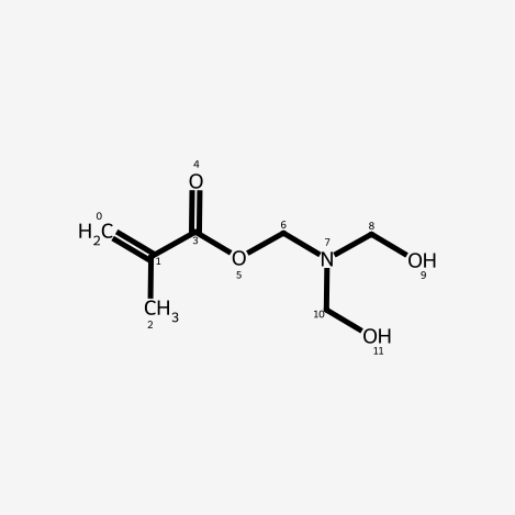 C=C(C)C(=O)OCN(CO)CO